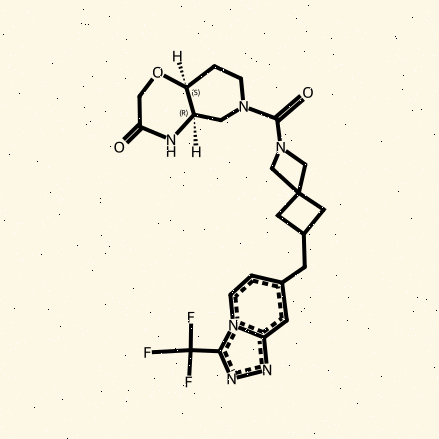 O=C1CO[C@H]2CCN(C(=O)N3CC4(CC(Cc5ccn6c(C(F)(F)F)nnc6c5)C4)C3)C[C@H]2N1